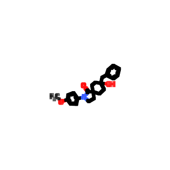 O=C1N(c2ccc(OC(F)(F)F)cc2)CCC12CCC(O)(Cc1ccccc1)CC2